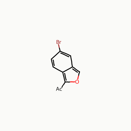 CC(=O)c1occ2cc(Br)ccc12